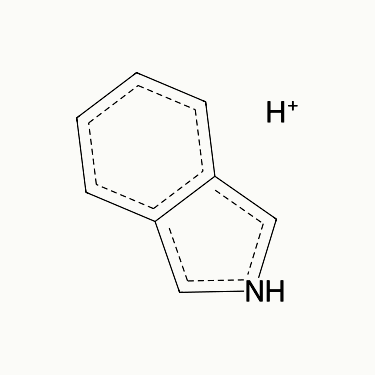 [H+].c1ccc2c[nH]cc2c1